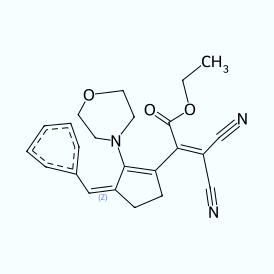 CCOC(=O)C(=C(C#N)C#N)C1=C(N2CCOCC2)/C(=C\c2ccccc2)CC1